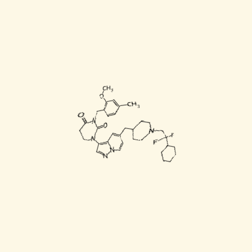 COc1cc(C)ccc1CN1C(=O)CCN(c2cnn3ccc(CC4CCN(CC(F)(F)C5CCCCC5)CC4)cc23)C1=O